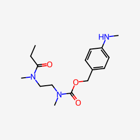 CCC(=O)N(C)CCN(C)C(=O)OCc1ccc(NC)cc1